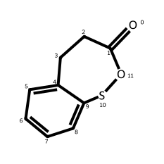 O=C1CCc2ccccc2SO1